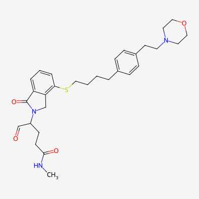 CNC(=O)CCC(C=O)N1Cc2c(SCCCCc3ccc(CCN4CCOCC4)cc3)cccc2C1=O